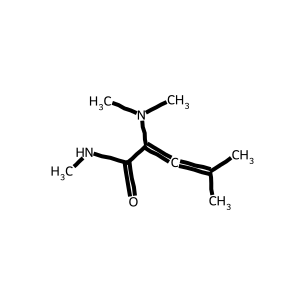 CNC(=O)C(=C=C(C)C)N(C)C